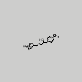 CC(C)[Si](O)(CCCOCC(O)CN1CCN(C)CC1)C(C)C